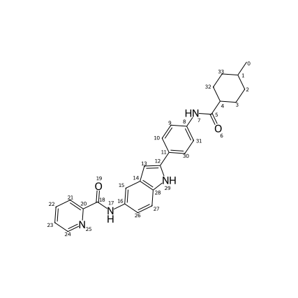 CC1CCC(C(=O)Nc2ccc(-c3cc4cc(NC(=O)c5ccccn5)ccc4[nH]3)cc2)CC1